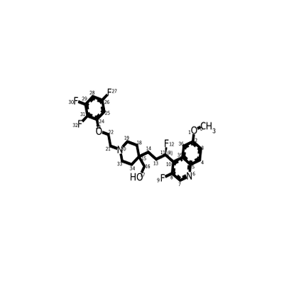 COc1ccc2ncc(F)c([C@H](F)CCC3(CO)CCN(CCOc4cc(F)cc(F)c4F)CC3)c2c1